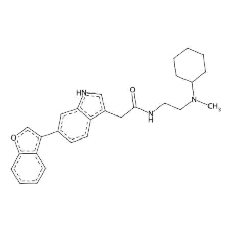 CN(CCNC(=O)Cc1c[nH]c2cc(-c3coc4ccccc34)ccc12)C1CCCCC1